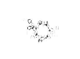 CCCC[C@@H]1NC(=O)[C@@H](CCC#N)OC(=O)[C@H](C)N(C)C(=O)[C@H](CC(C)C)NC(=O)[C@H](Cc2cn(Cc3ccc(Br)cc3)c3ccccc23)N(C)C(=O)[C@H](CC(C)C)NC(=O)[C@H](CC(C)C)N(C)C1=O